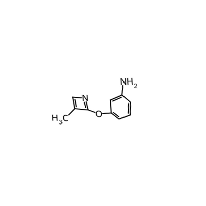 CC1=CN=C1Oc1cccc(N)c1